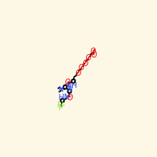 CCN(CC)c1ccc(NC(=O)c2cccc(CCCOCCOCCOCCOCCC(=O)OC)c2)c(-c2cc(C(=O)NCc3cccc(C(F)(F)F)c3)ccn2)c1